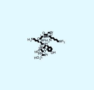 CC(C)C[C@H](NC(=O)[C@@H](N)CCCCN)C(=O)N[C@@H](C)C(=O)N[C@@H](CCCCN)C(=O)N[C@@H](Cc1ccc(O)cc1)C(=O)N[C@@H](CO)C(=O)N[C@H](C(=O)O)C(C)C